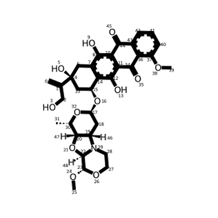 C=C(CO)[C@]1(O)Cc2c(O)c3c(c(O)c2[C@@H](O[C@H]2C[C@H]4[C@H](O[C@@H]5[C@@H](OC)OCCN54)[C@H](C)O2)C1)C(=O)c1c(OC)cccc1C3=O